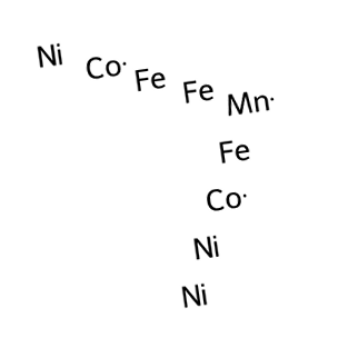 [Co].[Co].[Fe].[Fe].[Fe].[Mn].[Ni].[Ni].[Ni]